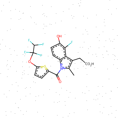 Cc1c(CC(=O)O)c2c(F)c(O)ccc2n1C(=O)c1ccc(OC(F)(F)C(F)F)s1